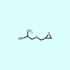 CCCC(C)CSCC1CS1